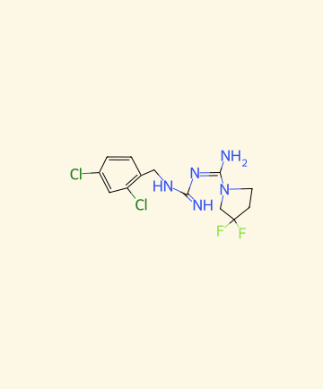 N=C(N=C(N)N1CCC(F)(F)C1)NCc1ccc(Cl)cc1Cl